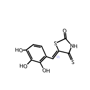 O=C1NC(=S)/C(=C/c2ccc(O)c(O)c2O)S1